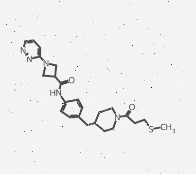 CSCCC(=O)N1CCC(Cc2ccc(NC(=O)C3CN(c4cccnn4)C3)cc2)CC1